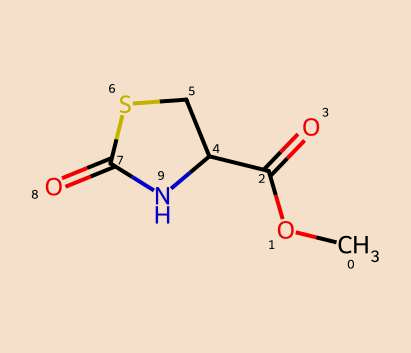 COC(=O)C1CSC(=O)N1